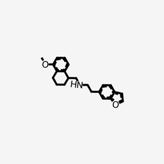 COc1cccc2c1CCCC2CNCCc1ccc2ccoc2c1